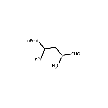 CCCCCC(CCC)CN(C)C=O